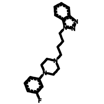 Fc1cccc(N2CCN(CCCCn3nnc4ccccc43)CC2)c1